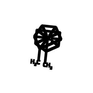 C[C]12[CH]3[CH]4[CH]5[CH]1[Ru]45321678[CH]2[CH]1[CH]6[C]7(C)[CH]28